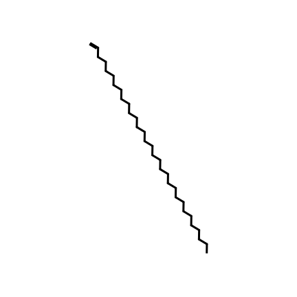 C=CCCCCCCCCCCCCCCCCCCCCCCCCCCCCC